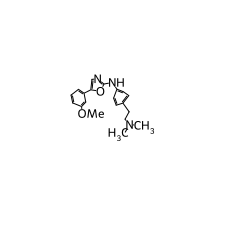 COc1cccc(-c2cnc(Nc3ccc(CCN(C)C)cc3)o2)c1